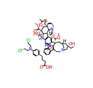 CC[C@]1(O)C[C@@H]2C[N@@](CCc3c([nH]c4ccccc34)[C@@](C(=O)OC)(c3cc4c(cc3OC)N(C)[C@H]3[C@@](O)(C(=O)OC)[C@H](OC(C)=O)[C@]5(CC)C=CCN6CC[C@]43[C@@H]65)C2)C1.O=C(O)CCCc1ccc(N(CCCl)CCCl)cc1